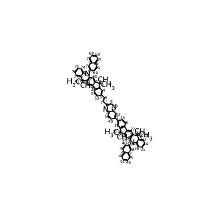 CC1(C)c2cc(/C=C/c3cnc4cc(-c5ccc6c(c5)C(C)(C)c5cc7c(cc5-6)C(C)(C)c5ccccc5N7c5ccc6ccccc6c5)ccc4n3)ccc2-c2cc3c(cc21)N(c1ccc2ccccc2c1)c1ccccc1C3(C)C